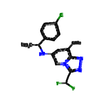 CCOC(=O)C(Nc1cc(OC)c2nnc(C(F)F)n2c1)c1ccc(Cl)cc1